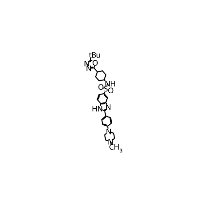 CN1CCN(c2ccc(-c3nc4cc(S(=O)(=O)NC5CCC(c6nnc(C(C)(C)C)o6)CC5)ccc4[nH]3)cc2)CC1